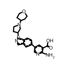 Nc1ncc(-c2ccc3c(cnn3C3CCN(C4CCOCC4)C3)c2)cc1C(=O)O